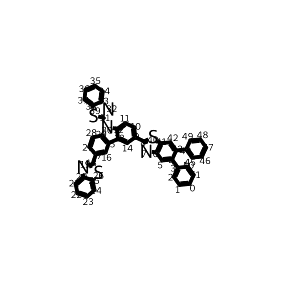 c1ccc(-c2cc3nc(-c4ccc5c(c4)c4cc(-c6nc7ccccc7s6)ccc4n5-c4nc5ccccc5s4)sc3cc2-c2ccccc2)cc1